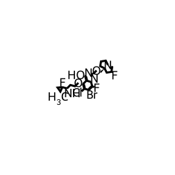 CNC(CCOc1c(Cl)c(Br)c(F)c2nc(OC[C@@]34CCCN3C[C@H](F)C4)nc(O)c12)C1(F)CC1